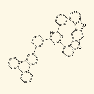 c1ccc(-c2nc(-c3cccc(-c4ccc5c6ccccc6c6ccccc6c5c4)c3)nc(-c3cccc4oc5cc6oc7ccccc7c6cc5c34)n2)cc1